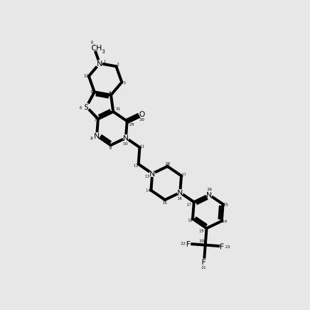 CN1CCc2c(sc3ncn(CCN4CCN(c5cc(C(F)(F)F)ccn5)CC4)c(=O)c23)C1